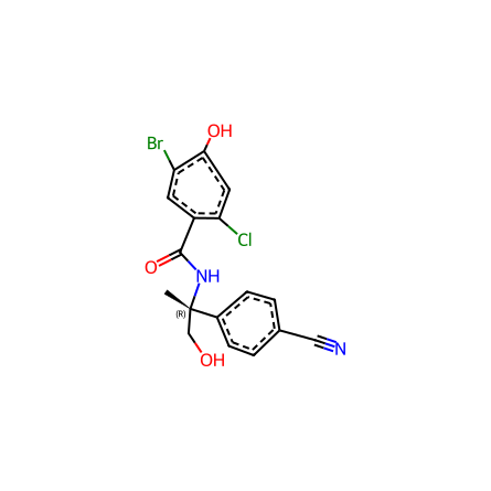 C[C@@](CO)(NC(=O)c1cc(Br)c(O)cc1Cl)c1ccc(C#N)cc1